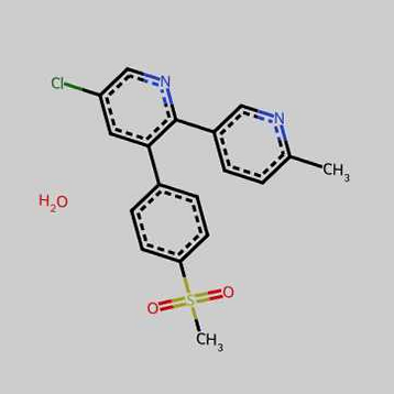 Cc1ccc(-c2ncc(Cl)cc2-c2ccc(S(C)(=O)=O)cc2)cn1.O